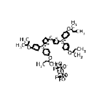 CCC(C)Oc1ccc([S+](c2ccc(OC(C)CC)cc2)c2ccc(Sc3ccc([S+](c4ccc(OC(C)CC)cc4)c4ccc(OC(C)CC)cc4)s3)s2)cc1.O=S(=O)([O-])C(F)(F)F.O=S(=O)([O-])C(F)(F)F